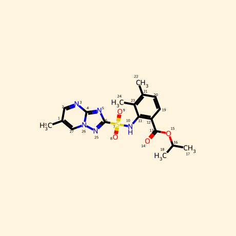 Cc1cnc2nc(S(=O)(=O)Nc3c(C(=O)OC(C)C)ccc(C)c3C)nn2c1